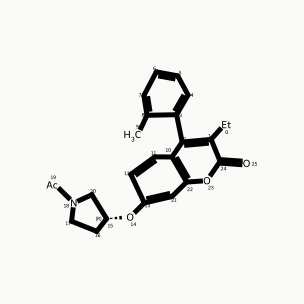 CCc1c(-c2ccccc2C)c2ccc(O[C@@H]3CCN(C(C)=O)C3)cc2oc1=O